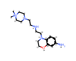 C[N+]1(C)CCN(CCNCCN2CCOc3cc(N)ccc32)CC1